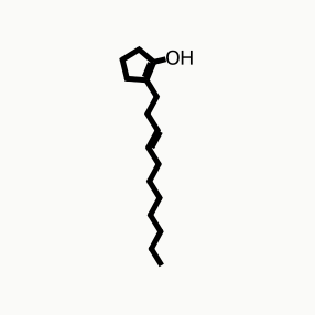 CCCCCCCC=CCCC1=C(O)CCC1